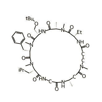 CC[C@@H]1NC(=O)CCN(C)C(=O)C[C@H](C)NC(=O)CNC(=O)[C@H](CC(C)C)N(C)C(=O)[C@H](Cc2ccccc2)N(C)C(=O)[C@H](COC(C)(C)C)NC(=O)[C@H](C)N(C)C1=O